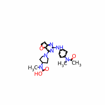 CC(=O)N(C)c1ccc(Nc2nc(N3CCC(N(C)C(=O)O)CC3)c3occc3n2)cc1